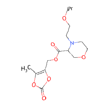 Cc1oc(=O)oc1COC(=O)C1COCCN1CCOC(C)C